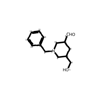 O=CC1CC(CO)CN(Cc2ccccc2)C1